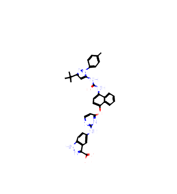 Cc1ccc(-n2nc(C(C)(C)C)cc2NC(=O)Nc2ccc(Oc3ccnc(Nc4ccc5[nH]nc(C(=O)O)c5c4)n3)c3ccccc23)cc1